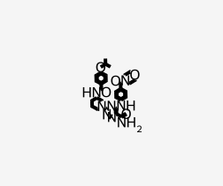 CC(C)Oc1ccc(C(=O)NC2CCCN(c3nnc(C(N)=O)c(Nc4ccc(C(=O)N5CCOCC5)cc4)n3)C2)cc1